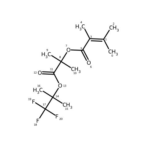 CC(C)=C(C)C(=O)OC(C)(C)C(=O)OC(C)(C)C(F)(F)F